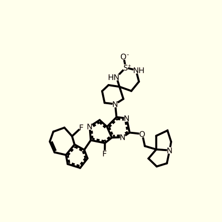 [O-][S+]1NCCC2(CCCN(c3nc(OCC45CCCN4CCC5)nc4c(F)c(-c5cccc6c5C(F)CCC=C6)ncc34)C2)N1